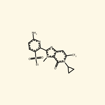 CCS(=O)(=O)c1ccc(N)nc1-c1nc2cc(C(F)(F)F)n(C3CC3)c(=O)c2n1C